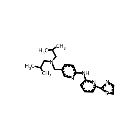 CC(C)CN(Cc1ccc(Nc2cccc(-c3nccs3)n2)nc1)CC(C)C